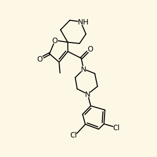 CC1=C(C(=O)N2CCN(c3cc(Cl)cc(Cl)c3)CC2)C2(CCNCC2)OC1=O